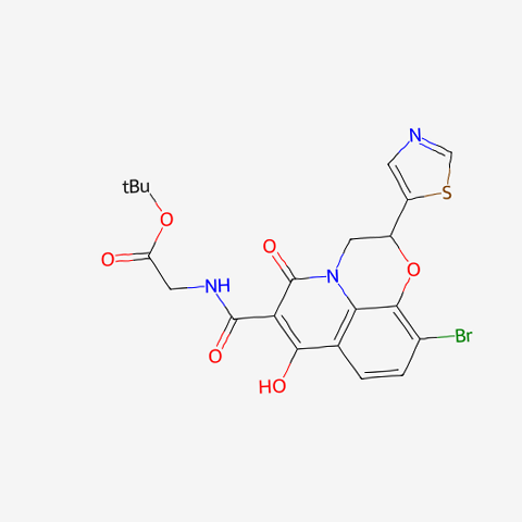 CC(C)(C)OC(=O)CNC(=O)c1c(O)c2ccc(Br)c3c2n(c1=O)CC(c1cncs1)O3